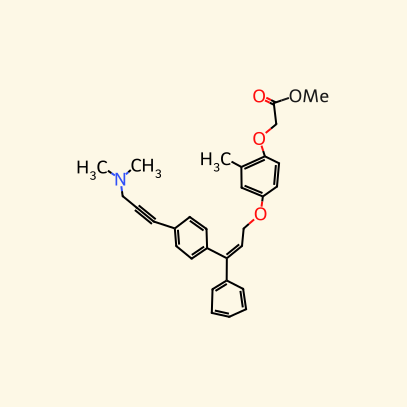 COC(=O)COc1ccc(OCC=C(c2ccccc2)c2ccc(C#CCN(C)C)cc2)cc1C